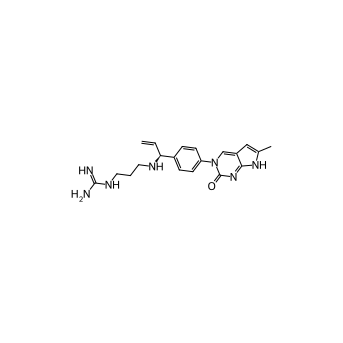 C=C[C@H](NCCCNC(=N)N)c1ccc(-n2cc3cc(C)[nH]c3nc2=O)cc1